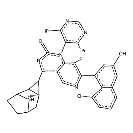 CC(C)c1ncnc(C(C)C)c1-n1c(=O)nc(C2C3C4CCC(C[C@H]23)N4)c2cnc(-c3cc(O)cc4cccc(Cl)c34)c(F)c21